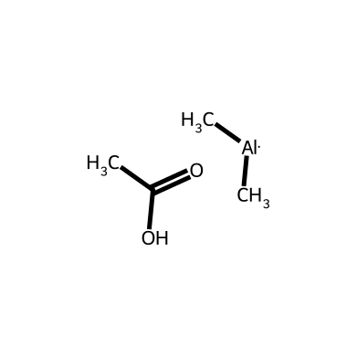 CC(=O)O.[CH3][Al][CH3]